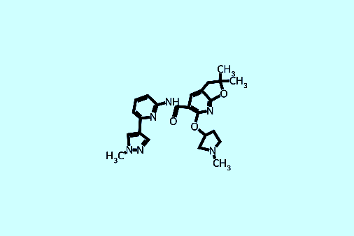 CN1CCC(Oc2nc3c(cc2C(=O)Nc2cccc(-c4cnn(C)c4)n2)CC(C)(C)O3)C1